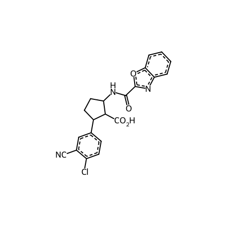 N#Cc1cc(C2CCC(NC(=O)c3nc4ccccc4o3)C2C(=O)O)ccc1Cl